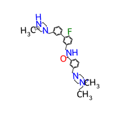 CCC[N+]1(C)CCN(Cc2cccc(C(=O)NCc3ccc(F)c(-c4cccc(CN5CCN[C@@H](C)C5)c4)c3)c2)CC1